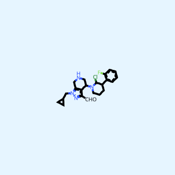 O=Cc1nn(CC2CC2)c2c1C(N1CCCC(c3ccccc3F)C1Cl)CNC2